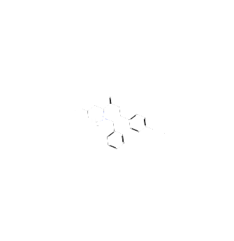 C=C(CCc1ccc(C)cc1)C(CC(C)C)N(C)Cc1ccccc1